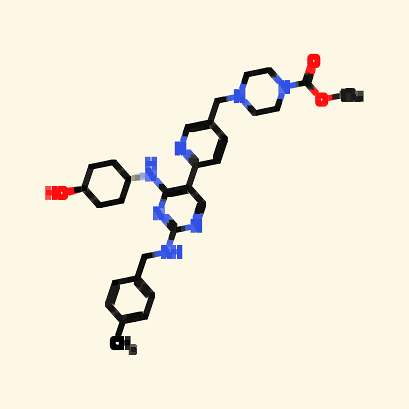 Cc1ccc(CNc2ncc(-c3ccc(CN4CCN(C(=O)OC(C)(C)C)CC4)cn3)c(N[C@H]3CC[C@H](O)CC3)n2)cc1